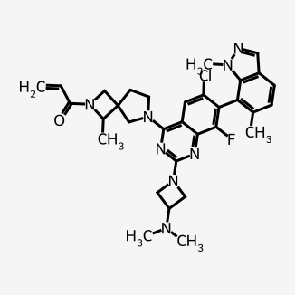 C=CC(=O)N1CC2(CCN(c3nc(N4CC(N(C)C)C4)nc4c(F)c(-c5c(C)ccc6cnn(C)c56)c(Cl)cc34)C2)C1C